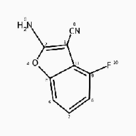 N#Cc1c(N)oc2cccc(F)c12